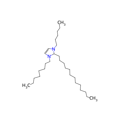 CCCCCCCCCCCCCC1N(CCCCCC)C=CN1CCCCCCCC